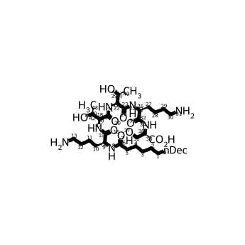 CCCCCCCCCCCCCCCC(=O)N[C@@H](CCCCN)C(=O)N[C@H](C(=O)N[C@H](C(=O)N[C@@H](CCCCN)C(=O)N[C@@H](CO)C(=O)O)[C@@H](C)O)[C@@H](C)O